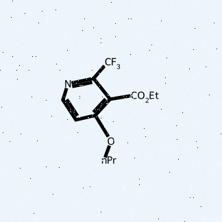 CCCOc1ccnc(C(F)(F)F)c1C(=O)OCC